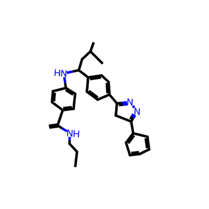 C=C(NCCC)c1ccc(NC(CC(C)C)c2ccc(C3=NN=C(c4ccccc4)C3)cc2)cc1